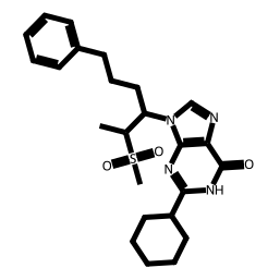 CC(C(CCCc1ccccc1)n1cnc2c(=O)[nH]c(C3CCCCC3)nc21)S(C)(=O)=O